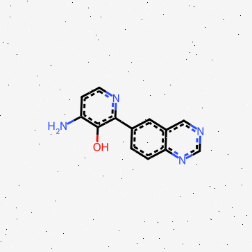 Nc1ccnc(-c2ccc3ncncc3c2)c1O